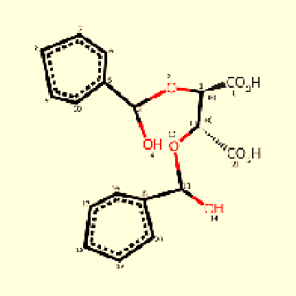 O=C(O)[C@H](OC(O)c1ccccc1)[C@@H](OC(O)c1ccccc1)C(=O)O